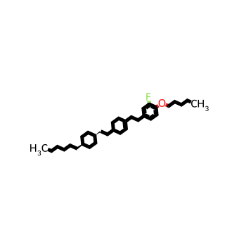 CCCCCC[C@H]1CC[C@H](CCC2CC=C(CCc3ccc(OCCCCC)c(F)c3)CC2)CC1